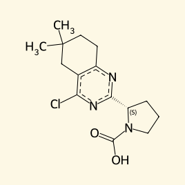 CC1(C)CCc2nc([C@@H]3CCCN3C(=O)O)nc(Cl)c2C1